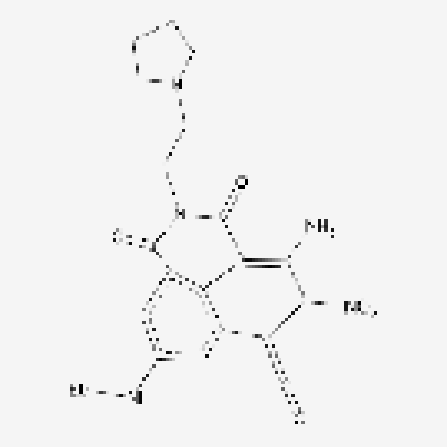 CCNc1cc2c3c(c1)C(=C=O)C([N+](=O)[O-])C(N)=C3C(=O)N(CCN1CCCC1)C2=O